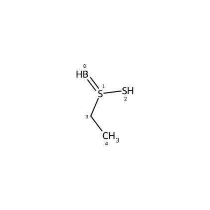 B=S(S)CC